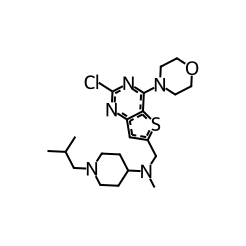 CC(C)CN1CCC(N(C)Cc2cc3nc(Cl)nc(N4CCOCC4)c3s2)CC1